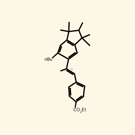 CCCCc1cc2c(cc1/C(C)=C/c1ccc(C(=O)OCC)cc1)C(C)(C)C(C)C2(C)C